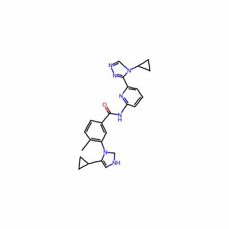 Cc1ccc(C(=O)Nc2cccc(-c3nncn3C3CC3)n2)cc1N1CNC=C1C1CC1